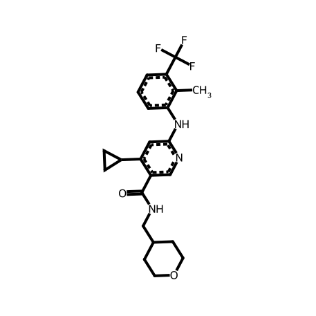 Cc1c(Nc2cc(C3CC3)c(C(=O)NCC3CCOCC3)cn2)cccc1C(F)(F)F